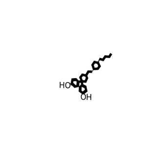 CCCCC[C@H]1CC[C@H](CCC2CCC(c3ccc(O)cc3)(c3ccc(O)cc3)CC2)CC1